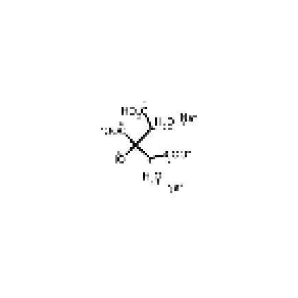 O.O.O=C([O-])CC(O)(CC(=O)O)C(=O)[O-].[Na+].[Na+]